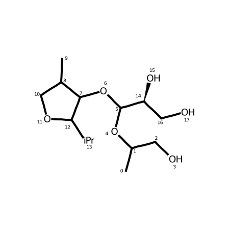 CC(CO)OC(OC1C(C)COC1C(C)C)[C@@H](O)CO